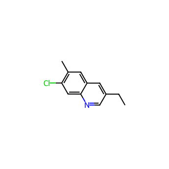 CCc1cnc2cc(Cl)c(C)cc2c1